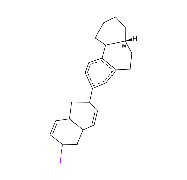 IC1C=CC2CC(c3ccc4c(c3)CC[C@H]3CCCCC43)C=CC2C1